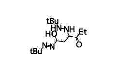 CCC(=O)C(CC(O)N=NC(C)(C)C)NNC(C)(C)C